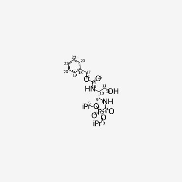 CC(C)OP(=O)(OC(C)C)C(=O)NC[C@@H](CO)NC(=O)OCc1ccccc1